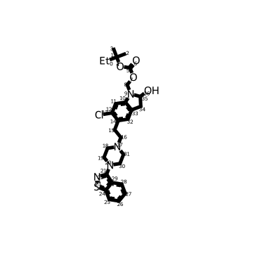 CCC(C)(C)OC(=O)OCN1c2cc(Cl)c(CCN3CCN(c4nsc5ccccc45)CC3)cc2CC1O